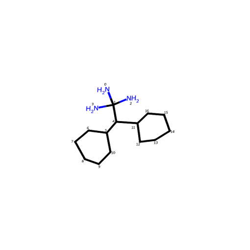 NC(N)(N)C(C1CCCCC1)C1CCCCC1